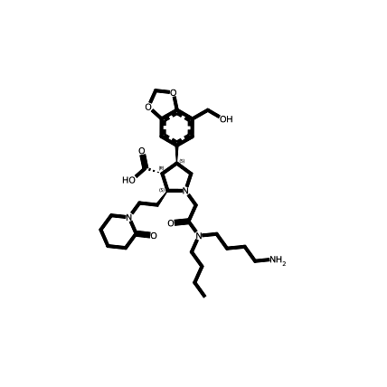 CCCCN(CCCCN)C(=O)CN1C[C@H](c2cc(CO)c3c(c2)OCO3)[C@@H](C(=O)O)[C@@H]1CCN1CCCCC1=O